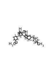 COc1cccc(-c2cc(-c3cc4ccc(CN5CCN(C)CC5)cc4[nH]3)c(=O)[nH]n2)c1